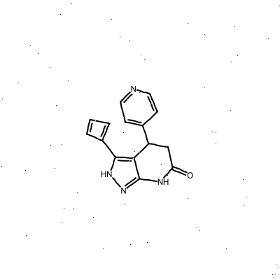 O=C1CC(c2ccncc2)c2c(n[nH]c2C2=CC=C2)N1